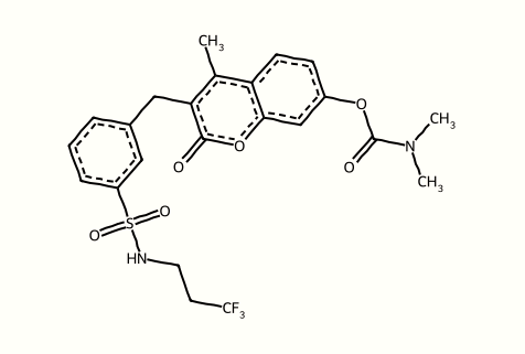 Cc1c(Cc2cccc(S(=O)(=O)NCCC(F)(F)F)c2)c(=O)oc2cc(OC(=O)N(C)C)ccc12